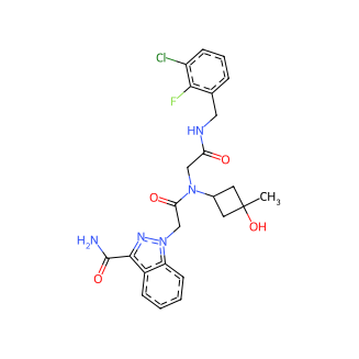 CC1(O)CC(N(CC(=O)NCc2cccc(Cl)c2F)C(=O)Cn2nc(C(N)=O)c3ccccc32)C1